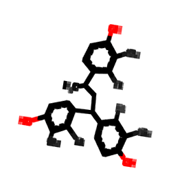 CCc1c(C(C)CC(c2ccc(O)c(C(C)(C)C)c2CC)c2ccc(O)c(C(C)(C)C)c2CC)ccc(O)c1C(C)(C)C